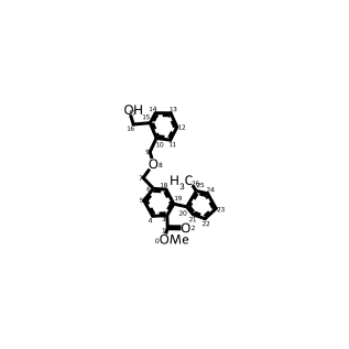 COC(=O)c1ccc(COCc2ccccc2CO)cc1-c1ccccc1C